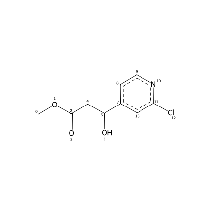 COC(=O)CC(O)c1ccnc(Cl)c1